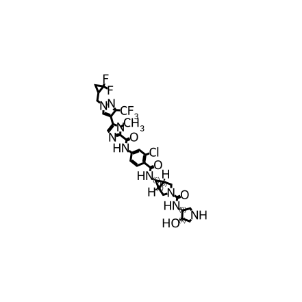 Cn1c(-c2cn(CC3CC3(F)F)nc2C(F)(F)F)cnc1C(=O)Nc1ccc(C(=O)N[C@H]2[C@@H]3CN(C(=O)N[C@@H]4CNC[C@H]4O)C[C@@H]32)c(Cl)c1